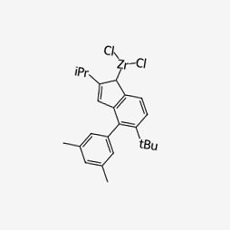 Cc1cc(C)cc(-c2c(C(C)(C)C)ccc3c2C=C(C(C)C)[CH]3[Zr]([Cl])[Cl])c1